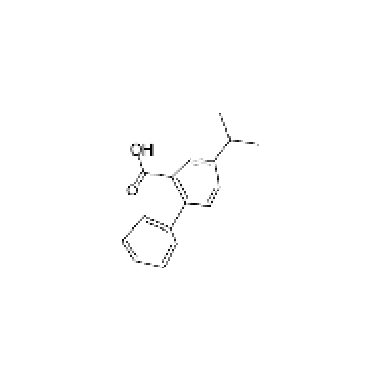 CC(C)c1ccc(-c2ccccc2)c(C(=O)O)c1